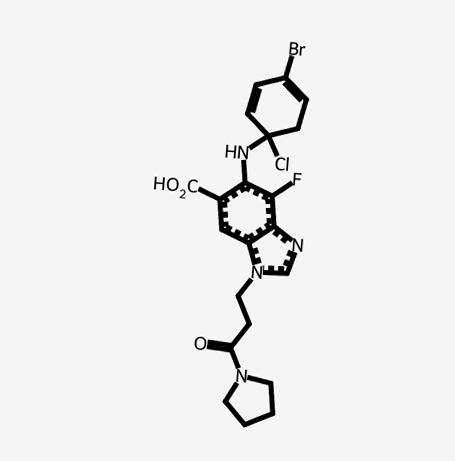 O=C(O)c1cc2c(ncn2CCC(=O)N2CCCC2)c(F)c1NC1(Cl)C=CC(Br)=CC1